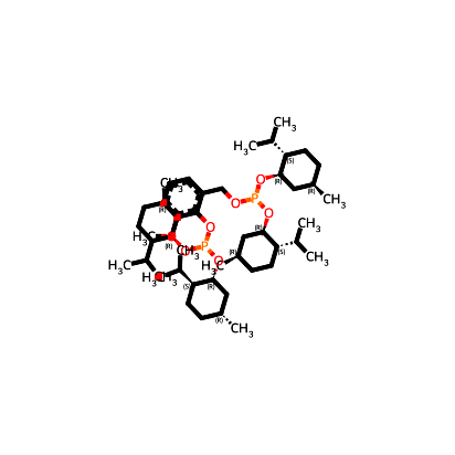 COc1cccc(COP(O[C@@H]2C[C@H](C)CC[C@H]2C(C)C)O[C@@H]2C[C@H](C)CC[C@H]2C(C)C)c1OP(O[C@@H]1C[C@H](C)CCC1C(C)C)O[C@@H]1C[C@H](C)CC[C@H]1C(C)C